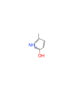 Cc1ccc(O)cc1.N